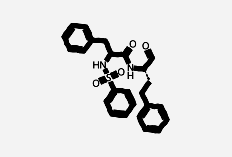 O=C[C@H](CCc1ccccc1)NC(=O)C(Cc1ccccc1)NS(=O)(=O)c1ccccc1